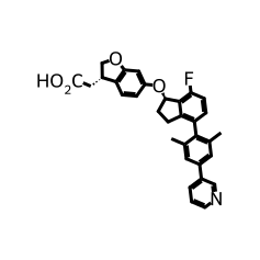 Cc1cc(-c2cccnc2)cc(C)c1-c1ccc(F)c2c1CC[C@H]2Oc1ccc2c(c1)OC[C@H]2CC(=O)O